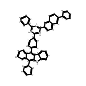 c1ccc(-c2ccc3cc(-c4nc(-c5ccccc5)nc(-c5ccc(-c6c7ccccc7c(-c7ccccc7)c7sc8ccccc8c67)cc5)n4)ccc3c2)cc1